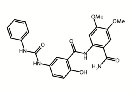 COc1cc(NC(=O)c2cc(NC(=O)Nc3ccccc3)ccc2O)c(C(N)=O)cc1OC